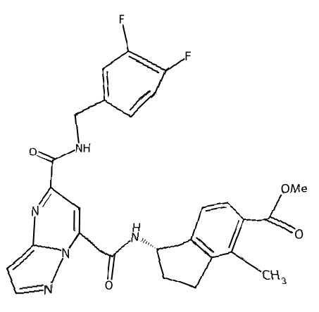 COC(=O)c1ccc2c(c1C)CC[C@@H]2NC(=O)c1cc(C(=O)NCc2ccc(F)c(F)c2)nc2ccnn12